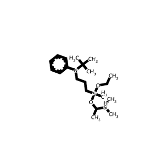 CCO[Si](C)(CCCN(c1ccccc1)C(C)(C)C)OC(C)[SiH](C)C